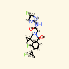 O=C(CN1CC2(CC2)c2c(ccc([C@@H]3C[C@H]3F)c2F)C1=O)Nc1ncc(F)cn1